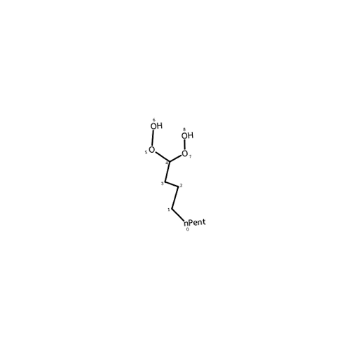 CCCCCCCCC(OO)OO